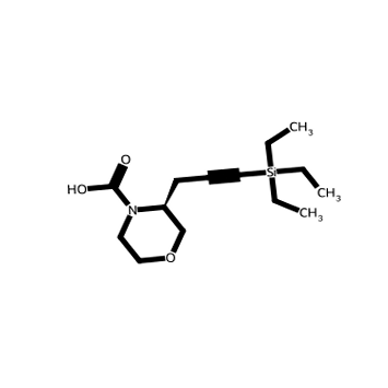 CC[Si](C#CC[C@H]1COCCN1C(=O)O)(CC)CC